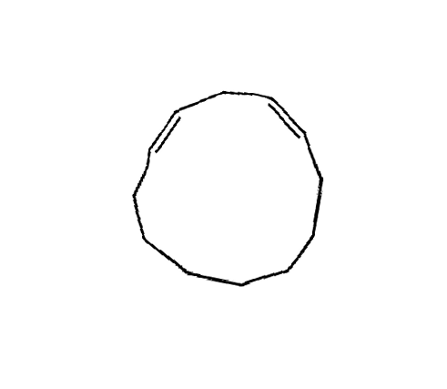 C1=C\CCCCCCC/C=C\C/1